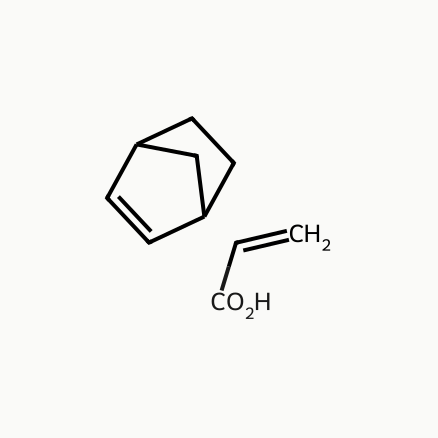 C1=CC2CCC1C2.C=CC(=O)O